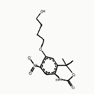 CC1(C)OC(=O)Nc2cc([N+](=O)[O-])c(OCCCCO)cc21